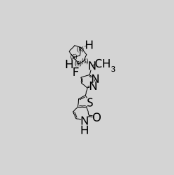 CN(c1ccc(-c2cc3cc[nH]c(=O)c3s2)nn1)[C@H]1C[C@@H]2CC[C@@H](C2)[C@H]1F